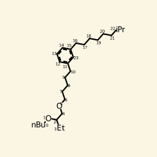 CCCCOC(CC)COCCCCCc1cccc(CCCCCCC(C)C)c1